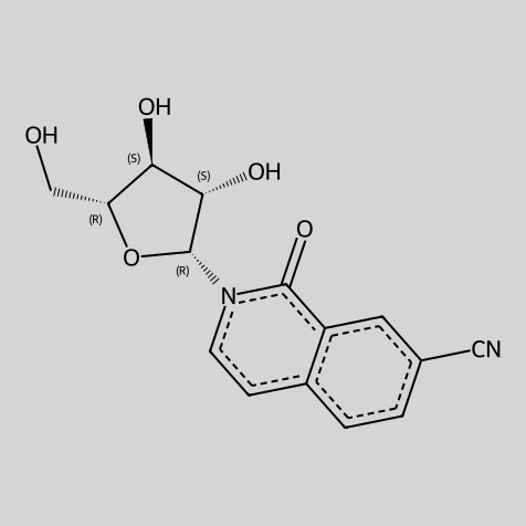 N#Cc1ccc2ccn([C@@H]3O[C@H](CO)[C@@H](O)[C@@H]3O)c(=O)c2c1